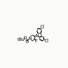 CC(C)(C)OC(=O)N1CC[C@H](n2c3ccc(Cl)cc3c3cc(Cl)ccc32)[C@H](F)C1